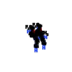 Cc1ccc(NC(=O)c2cccc(C(F)(F)F)c2)cc1N1Cc2cnc(Nc3ccc(CCN4CCNCC4)cc3)nc2N(C)C1=O.Cc1ccc(NC(=O)c2cccc(C(F)(F)F)c2)cc1N1Cc2cnc(Nc3cccc(CN4CCNCC4)c3)nc2N(C)C1=O